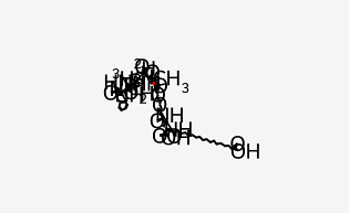 [2H]C(=O)[C@H](CSSC[C@H](N[3H])C(=O)CN[C@@H](Cc1ccccc1)C(N)=O)NC(=O)[C@H](C)NC(=O)COCCOCCNC(=O)CC[C@H](NC(=O)CCCCCCCCCCCCCCCCC(=O)O)C(=O)O